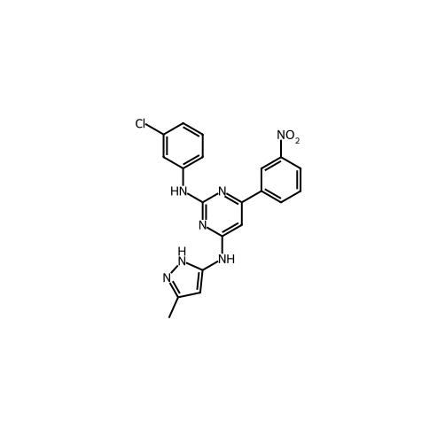 Cc1cc(Nc2cc(-c3cccc([N+](=O)[O-])c3)nc(Nc3cccc(Cl)c3)n2)[nH]n1